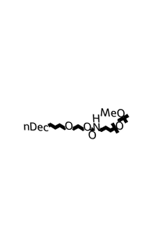 CCCCCCCCCCCCCCOCCCOC(=O)NCCCC(C)(C)OCC(C)(C)OC